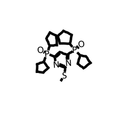 CSc1nc(P(=O)(C2CCCC2)C2CCCC2)cc(P(=O)(C2CCCC2)C2CCCC2)n1